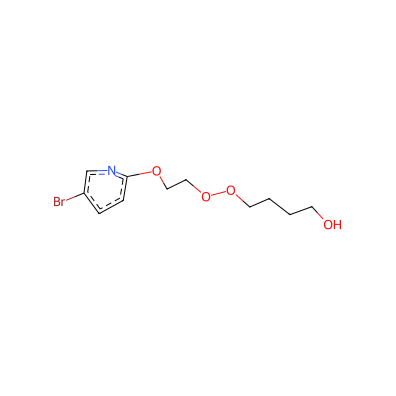 OCCCCOOCCOc1ccc(Br)cn1